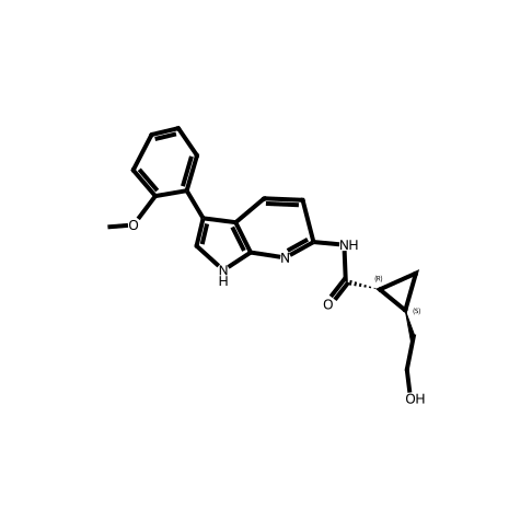 COc1ccccc1-c1c[nH]c2nc(NC(=O)[C@@H]3C[C@H]3CCO)ccc12